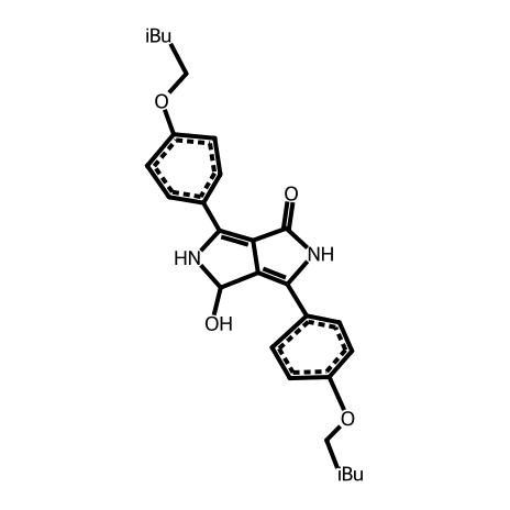 CCC(C)COc1ccc(C2=C3C(=O)NC(c4ccc(OCC(C)CC)cc4)=C3C(O)N2)cc1